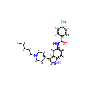 CCCCCN1CC=C(c2c[nH]c3ccc(NC(=O)c4ccc(F)cc4)cc23)CC1